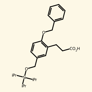 CC(C)[Si](OCc1ccc(OCc2ccccc2)c(CCC(=O)O)c1)(C(C)C)C(C)C